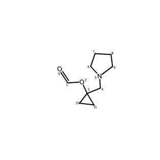 O=COC1(CN2CCCC2)CC1